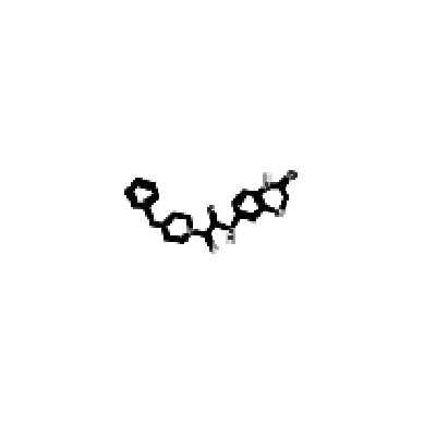 O=C1COc2cc(NC(=O)C(=O)N3CCC(Cc4ccccc4)CC3)ccc2N1